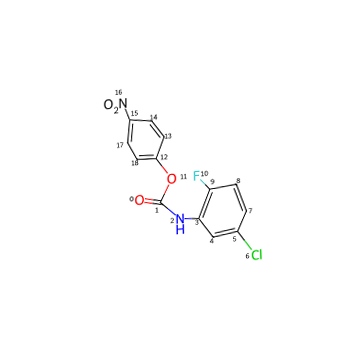 O=C(Nc1cc(Cl)ccc1F)Oc1ccc([N+](=O)[O-])cc1